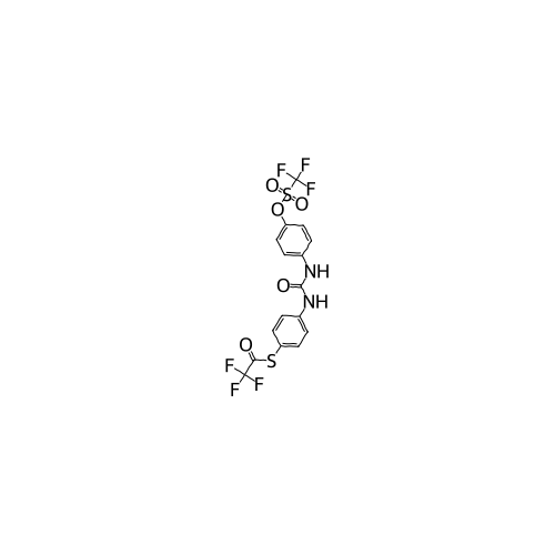 O=C(Nc1ccc(OS(=O)(=O)C(F)(F)F)cc1)Nc1ccc(SC(=O)C(F)(F)F)cc1